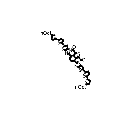 CCCCCCCCc1ccc(-c2ccc(-c3cc4c(nc5c6ccc7c8c(sc(c(=O)n45)c68)c(=O)n4c5cc(-c6ccc(-c8ccc(CCCCCCCC)s8)s6)sc5nc74)s3)s2)s1